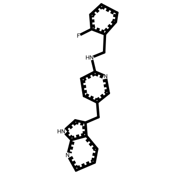 Fc1ccccc1CNc1ccc(Cc2c[nH]c3ncccc23)cn1